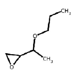 CCCOC(C)C1CO1